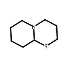 C1CCN2CCCSC2C1